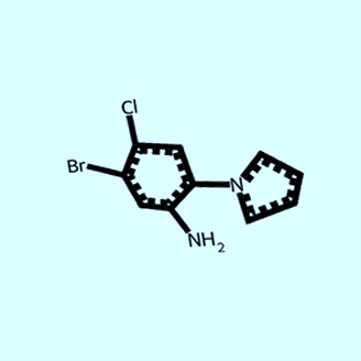 Nc1cc(Br)c(Cl)cc1-n1cccc1